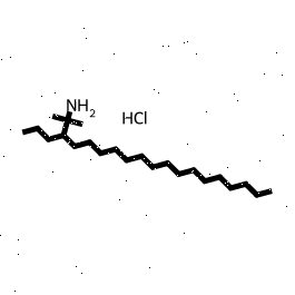 CCCCCCCCCCCCCCCCC(CCC)C(C)(C)N.Cl